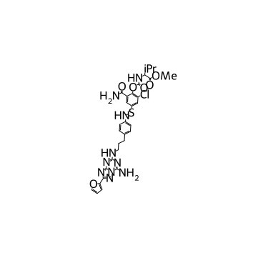 COC(=O)C(NC(=O)Oc1c(Cl)cc(SNc2ccc(CCCNc3nc(N)n4nc(-c5ccco5)nc4n3)cc2)cc1C(N)=O)C(C)C